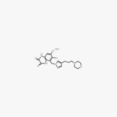 Cl.O=c1[nH]c2cc(Cl)c(Cl)c(Cn3cc(CCCN4CCOCC4)cn3)c2[nH]c1=O